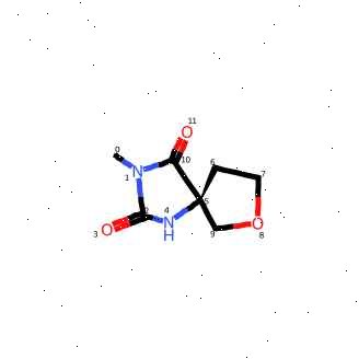 CN1C(=O)N[C@]2(CCOC2)C1=O